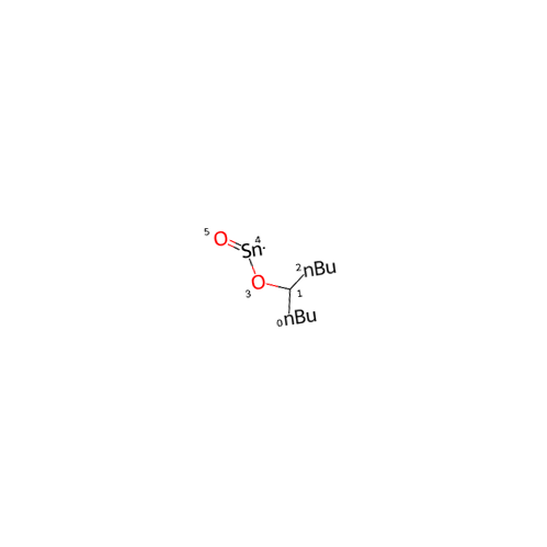 CCCCC(CCCC)[O][Sn]=[O]